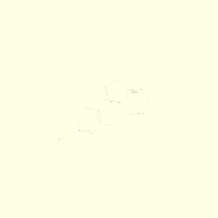 COc1ccc(N2CCc3c(Br)cc(C)nc32)c(C)c1